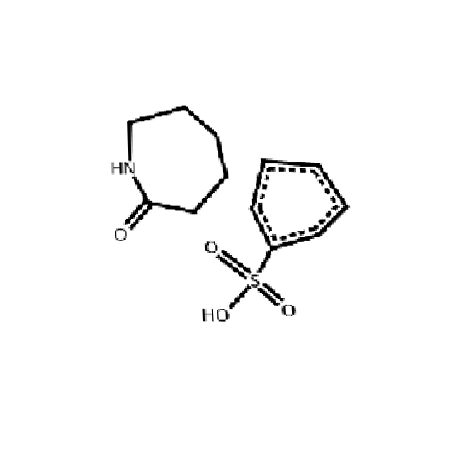 O=C1CCCCCN1.O=S(=O)(O)c1ccccc1